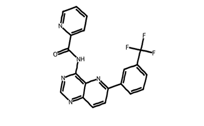 O=C(Nc1ncnc2ccc(-c3cccc(C(F)(F)F)c3)nc12)c1ccccn1